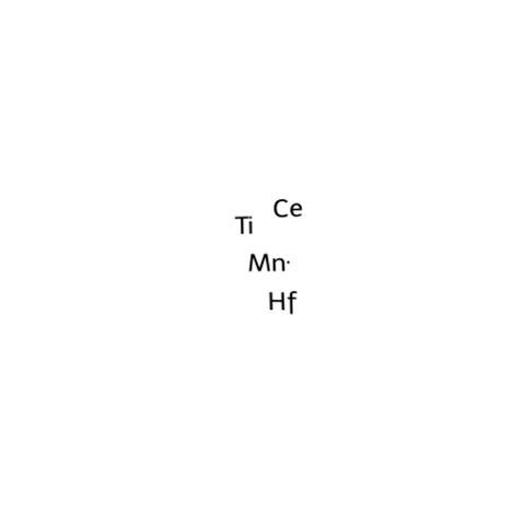 [Ce].[Hf].[Mn].[Ti]